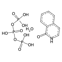 O.O=P(O)(O)OP(=O)(O)OP(=O)(O)O.O=c1[nH]ccc2ccccc12